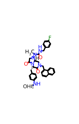 CN(C(=O)NCc1ccc(F)cc1)N1CC(=O)N2[C@@H](Cc3ccc(NC=O)cc3)C(=O)N(Cc3cccc4ccccc34)C[C@@H]21